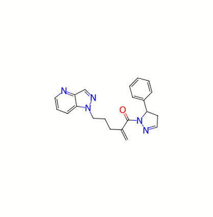 C=C(CCCn1ncc2ncccc21)C(=O)N1N=CCC1c1ccccc1